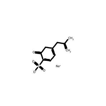 C=C(C)CC1=CC=C(S(=O)(=O)[O-])C(=O)C1.[Na+]